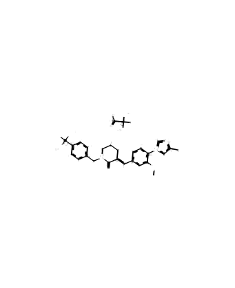 COc1cc(C=C2CCCN(Cc3ccc(C(F)(F)F)cc3)C2=O)ccc1-n1cnc(C)c1.O=C(O)C(F)(F)F